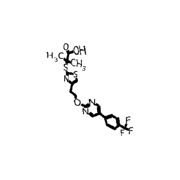 CC(C)(Sc1nc(CCOc2ncc(-c3ccc(C(F)(F)F)cc3)cn2)cs1)C(=O)O